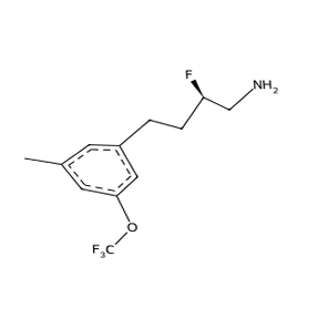 Cc1cc(CC[C@@H](F)CN)cc(OC(F)(F)F)c1